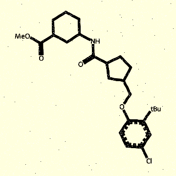 COC(=O)C1CCCC(NC(=O)C2CCC(COc3ccc(Cl)cc3C(C)(C)C)C2)C1